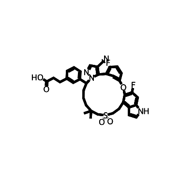 CC1(C)CCCC(c2cccc(CCC(=O)O)c2)n2ncc(C#N)c2-c2cc(ccc2F)Oc2c(F)cc3[nH]ccc3c2CCS(=O)(=O)C1